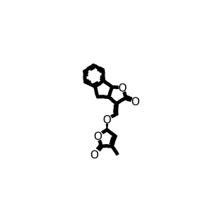 CC1=C[C@H](OC=C2C(=O)OC3c4ccccc4CC23)OC1=O